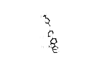 Cl.Cn1c2c(c3ccc(-n4ccc(OCc5ccc(C(F)(F)F)nc5)cc4=O)cc31)CN1CCC2CC1